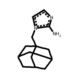 Nc1nccn1CC12CC3CC(CC(C3)C1)C2